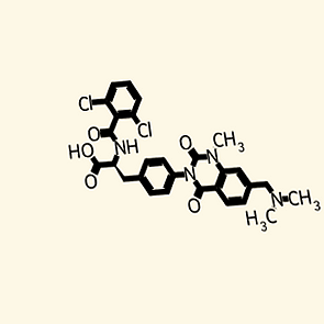 CN(C)Cc1ccc2c(=O)n(-c3ccc(C[C@H](NC(=O)c4c(Cl)cccc4Cl)C(=O)O)cc3)c(=O)n(C)c2c1